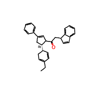 CCC1=CCC([C@@H]2CC(c3ccccc3)=CC2C(=O)CC2C=Cc3ccccc32)C=C1